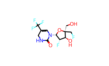 O=C1NCC(C(F)(F)F)=CN1[C@@H]1O[C@@](CO)(CF)[C@@H](O)[C@@H]1F